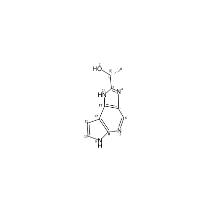 C[C@@H](O)c1nc2cnc3[nH]ccc3c2[nH]1